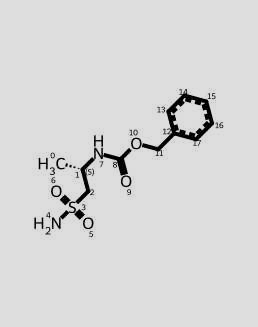 C[C@@H](CS(N)(=O)=O)NC(=O)OCc1ccccc1